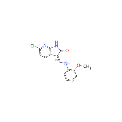 COc1ccccc1N/C=C1\C(=O)Nc2nc(Cl)ccc21